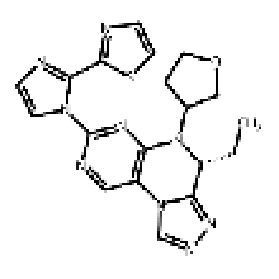 CC[C@@H]1c2nncn2-c2cnc(-n3ccnc3-c3nccs3)nc2N1C1CCOC1